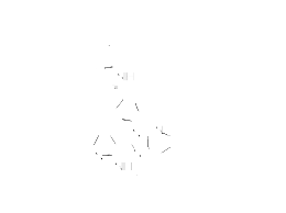 CC(C)(C)OC(=O)N[C@H]1CCc2cc(-n3c(-c4cccnc4N)nc4ccc(C5CC5)nc43)ccc21